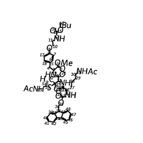 COC(=O)C(Cc1ccc(OCCNC(=O)OC(C)(C)C)cc1)NC(=O)[C@@H](NC(=O)[C@H](CCCCNC(C)=O)NC(=O)OCC1c2ccccc2-c2ccccc21)C(C)(C)SCNC(C)=O